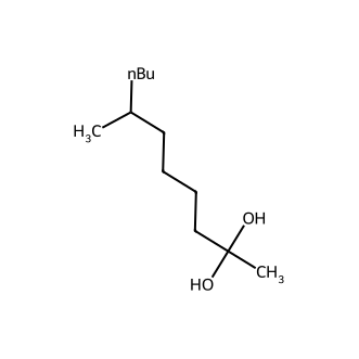 CCCCC(C)CCCCC(C)(O)O